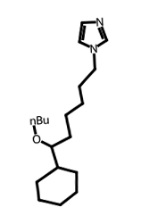 CCCCOC(CCCCCn1ccnc1)C1CCCCC1